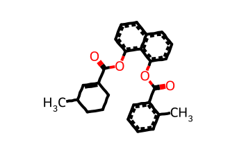 Cc1ccccc1C(=O)Oc1cccc2cccc(OC(=O)C3=CC(C)CCC3)c12